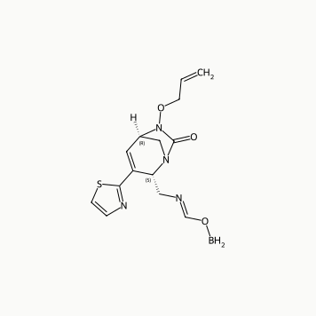 BOC=NC[C@@H]1C(c2nccs2)=C[C@@H]2CN1C(=O)N2OCC=C